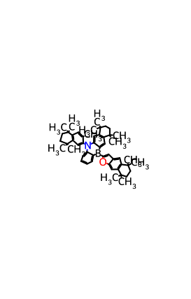 Cc1cc2c(cc1N1c3ccccc3B(c3cc4cc5c(cc4o3)C(C)(C)CCC5(C)C)c3cc4c(cc31)C(C)(C)CCC4(C)C)C(C)(C)CCC2(C)C